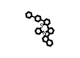 c1ccc(-c2ccc(-c3cccc4c3sc3ccccc3n3c5ccc6ccccc6c5c5cccc4c53)cc2)cc1